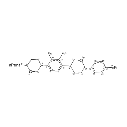 CCCCCC1CCC(c2ccc(C3CCC(c4ccc(CCC)cc4)OC3)c(F)c2F)CO1